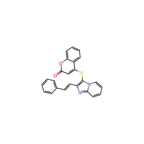 O=c1cc(Sc2c(C=Cc3ccccc3)nc3ccccn23)c2ccccc2o1